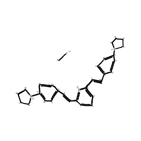 C(=Cc1cccc(C=Cc2ccc(N3CCCC3)cc2)n1)c1ccc(N2CCCC2)cc1.CI